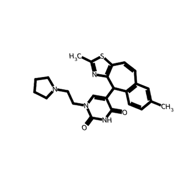 Cc1ccc2c(c1)C=Cc1sc(C)nc1C2c1cn(CCN2CCCC2)c(=O)[nH]c1=O